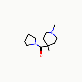 CN1CCC(C)(C(=O)N2CCCC2)CC1